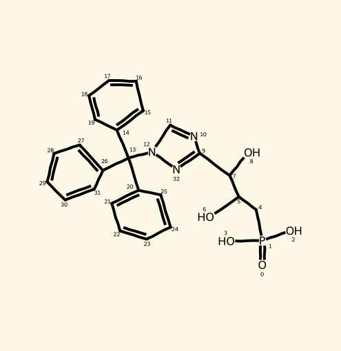 O=P(O)(O)CC(O)C(O)c1ncn(C(c2ccccc2)(c2ccccc2)c2ccccc2)n1